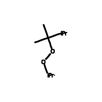 C[C](C)OOC(C)(C)C(C)C